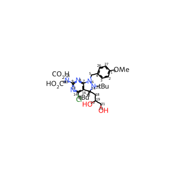 COc1ccc(CN2c3nc(N(C(=O)O)C(=O)O)nc(Cl)c3C(CC(O)CO)(C(C)(C)C)N2C(C)(C)C)cc1